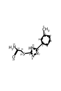 Cc1cccc(-c2nnc(SCC(N)=O)[nH]2)c1